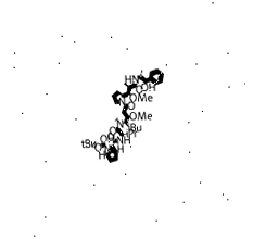 CC[C@H](C)[C@@H]([C@@H](CC(=O)N1CCC[C@H]1[C@H](OC)[C@@H](C)C(=O)N[C@H](C)[C@@H](O)c1ccccc1)OC)N(C)C(=O)[C@@H](NC(=O)[C@@H]1[C@H]2CC[C@H](C2)N1C(O)OC(C)(C)C)C(C)C